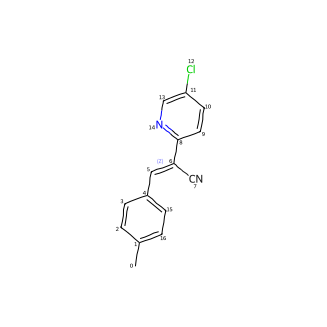 Cc1ccc(/C=C(\C#N)c2ccc(Cl)cn2)cc1